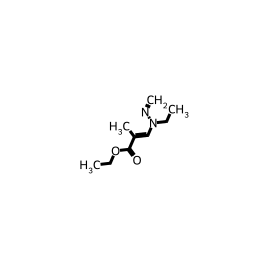 C=NN(/C=C(\C)C(=O)OCC)CC